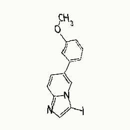 COc1cccc(-c2ccc3ncc(I)n3c2)c1